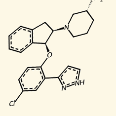 N[C@@H]1CCCN([C@@H]2Cc3ccccc3[C@@H]2Oc2ccc(Cl)cc2-c2cc[nH]n2)C1